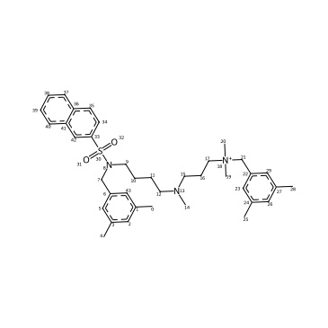 Cc1cc(C)cc(CN(CCCCN(C)CCC[N+](C)(C)Cc2cc(C)cc(C)c2)S(=O)(=O)c2ccc3ccccc3c2)c1